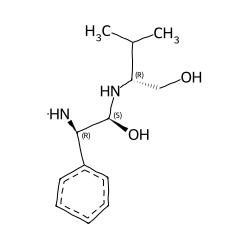 CC(C)[C@H](CO)N[C@@H](O)[C@H]([NH])c1ccccc1